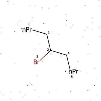 CCCCC(Br)CCCC